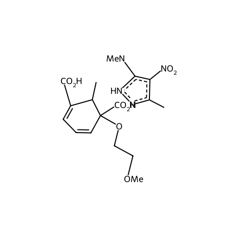 CNc1[nH]nc(C)c1[N+](=O)[O-].COCCOC1(C(=O)O)C=CC=C(C(=O)O)C1C